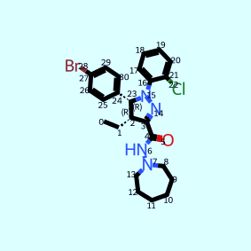 CC[C@H]1C(C(=O)NN2CCCCCC2)=NN(c2ccccc2Cl)[C@H]1c1ccc(Br)cc1